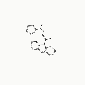 [CH2]C(CC=C(C)c1c2ccccc2cc2ccccc12)c1ccccc1